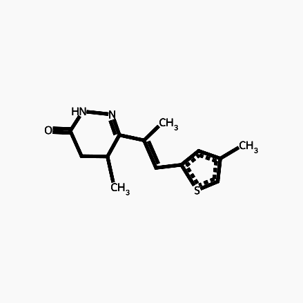 CC(=Cc1cc(C)cs1)C1=NNC(=O)CC1C